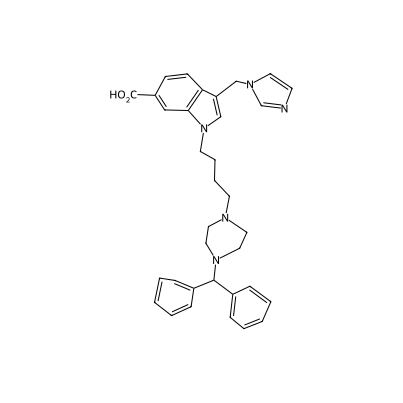 O=C(O)c1ccc2c(Cn3ccnc3)cn(CCCCN3CCN(C(c4ccccc4)c4ccccc4)CC3)c2c1